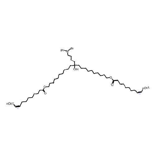 CCCCCCCC/C=C\CCCCCCCC(=O)OCCCCCCCCCCC(O)(CCCCCCCCCCOC(=O)CCCCCCC/C=C\CCCCCCCC)CCCCN(C(C)C)C(C)C